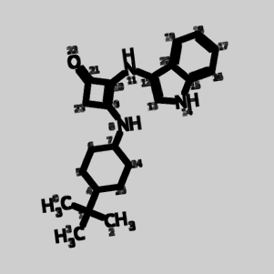 CC(C)(C)C1CCC(NC2=C(Nc3c[nH]c4ccccc34)C(=O)C2)CC1